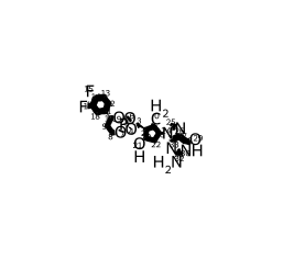 C=C1[C@H](CO[P@]2(=O)OCC[C@H](c3ccc(F)c(F)c3)O2)[C@@H](O)C[C@@H]1n1cnc2c(=O)[nH]c(N)nc21